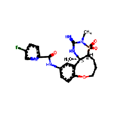 CN1C(=N)N[C@]2(C)c3cc(NC(=O)c4ccc(F)cn4)ccc3OCCC[C@@H]2S1(=O)=O